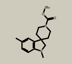 Cc1ccc2c(c1)C1(CCN(C(=O)OC(C)(C)C)CC1)CN2C